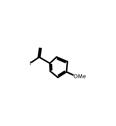 C=C(I)c1ccc(OC)cc1